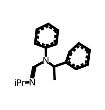 CC(C)N=CN(c1ccccc1)C(C)c1ccccc1